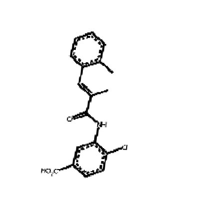 CC(=Cc1ccccc1C)C(=O)Nc1cc(C(=O)O)ccc1Cl